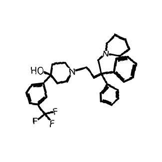 OC1(c2cccc(C(F)(F)F)c2)CCN(CCC(CN2CCCCC2)(c2ccccc2)c2ccccc2)CC1